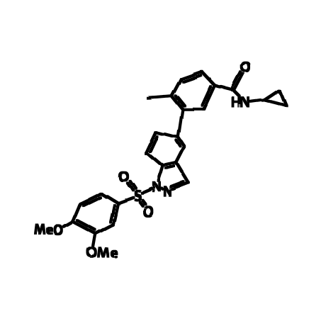 COc1ccc(S(=O)(=O)n2ncc3cc(-c4cc(C(=O)NC5CC5)ccc4C)ccc32)cc1OC